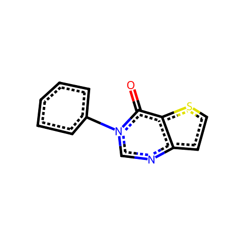 O=c1c2sccc2ncn1-c1ccccc1